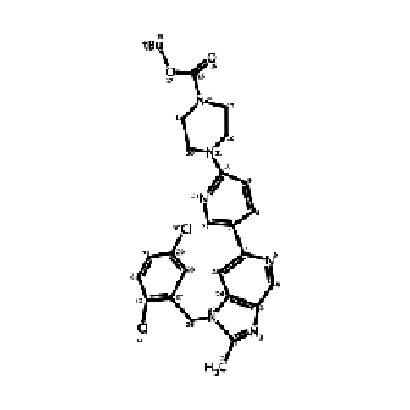 Cc1nc2cnc(-c3ccc(N4CCN(C(=O)OC(C)(C)C)CC4)nc3)cc2n1Cc1cc(Cl)ccc1Cl